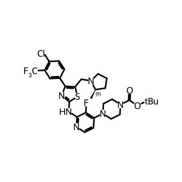 C[C@@H]1CCCN1Cc1sc(Nc2nccc(N3CCN(C(=O)OC(C)(C)C)CC3)c2F)nc1-c1ccc(Cl)c(C(F)(F)F)c1